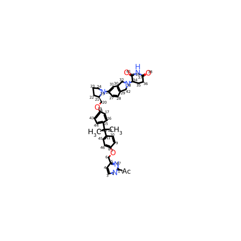 CC(=O)c1nccc(COc2ccc(C(C)(C)c3ccc(OC[C@H]4CCCN4c4ccc5c(c4)CN(C4CCC(=O)NC4=O)C5)cc3)cc2)n1